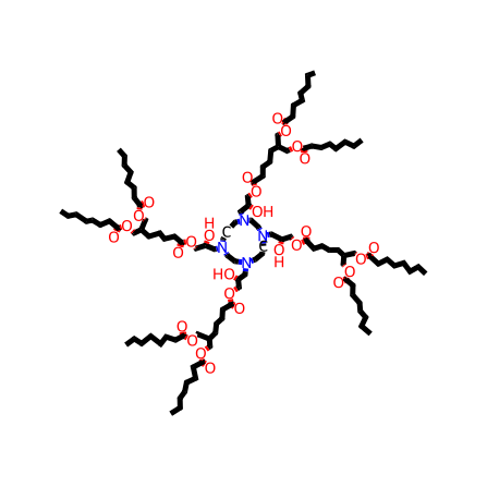 CCCCCCCC(=O)OCC(CCCCC(=O)OCC(O)CN1CCCN(CC(O)COC(=O)CCCCC(COC(=O)CCCCCCC)COC(=O)CCCCCCC)CCN(CC(O)COC(=O)CCCCC(COC(=O)CCCCCCC)COC(=O)CCCCCCC)CCCN(CC(O)COC(=O)CCCCC(COC(=O)CCCCCCC)COC(=O)CCCCCCC)CC1)COC(=O)CCCCCCC